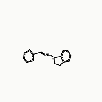 C(=Cc1ccccc1)N[C@@H]1CCc2ccccc21